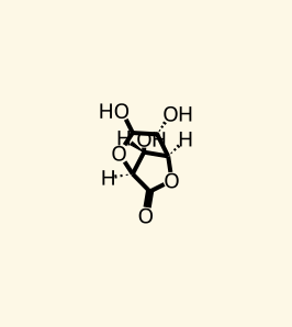 O=C1O[C@H]2[C@@H](O)[C@@H]1OC(O)[C@@H]2O